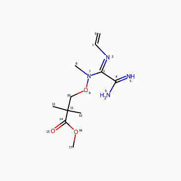 C=C/N=C(/C(=N)N)N(C)OCC(C)(C)C(=O)OC